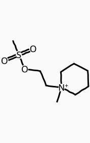 C[N+]1(CCOS(C)(=O)=O)CCCCC1